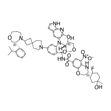 CC(C)c1ccccc1[C@@H]1COCCCN1C1CC2(CCN(c3ccc(C(=O)NS(=O)(=O)c4cc5c(c([N+](=O)[O-])c4)N[C@H](C4(F)CCC(C)(O)CC4)CO5)c(N4c5cc6cc[nH]c6nc5O[C@H]5COCC[C@@H]54)c3)CC2)C1